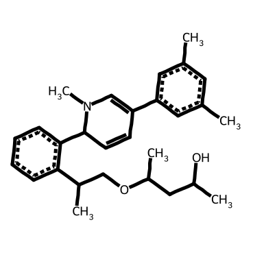 Cc1cc(C)cc(C2=CN(C)C(c3ccccc3C(C)COC(C)CC(C)O)C=C2)c1